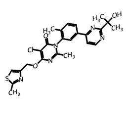 Cc1nc(COc2nc(C)n(-c3cc(-c4ccnc(C(C)(C)O)n4)ccc3C)c(=O)c2Cl)cs1